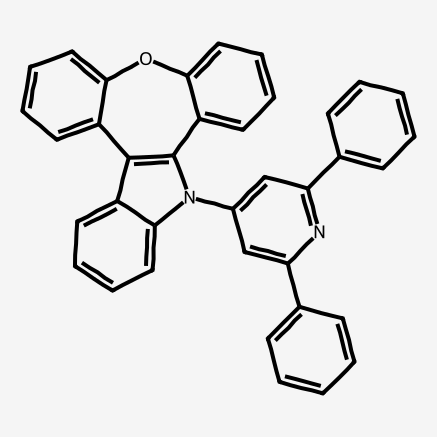 c1ccc(-c2cc(-n3c4c(c5ccccc53)-c3ccccc3Oc3ccccc3-4)cc(-c3ccccc3)n2)cc1